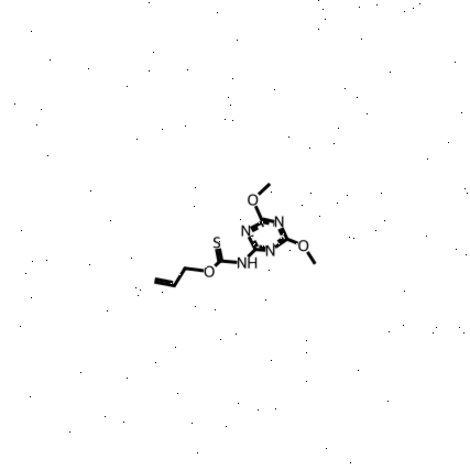 C=CCOC(=S)Nc1nc(OC)nc(OC)n1